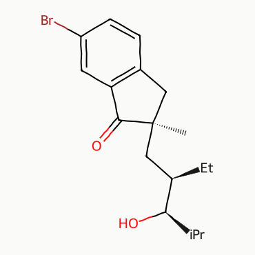 CC[C@H](C[C@]1(C)Cc2ccc(Br)cc2C1=O)[C@H](O)C(C)C